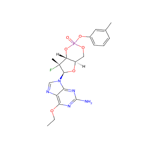 CCOc1nc(N)nc2c1ncn2[C@@H]1O[C@@H]2COP(=O)(Oc3cccc(C)c3)O[C@H]2[C@@]1(C)F